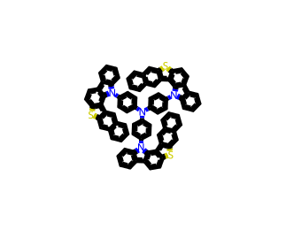 c1ccc2cc3c(cc2c1)sc1ccc2c4ccccc4n(-c4ccc(N(c5ccc(-n6c7ccccc7c7ccc8sc9cc%10ccccc%10cc9c8c76)cc5)c5ccc(-n6c7ccccc7c7ccc8sc9cc%10ccccc%10cc9c8c76)cc5)cc4)c2c13